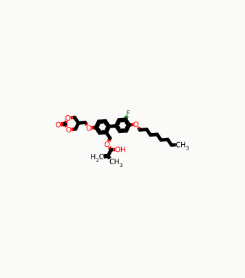 C=C(C)C(O)OCc1cc(OCC2COC(=O)OC2)ccc1-c1ccc(OCCCCCCCC)c(F)c1